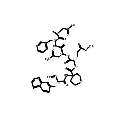 CN(CC(N)=O)C(=O)[C@H](Cc1cccnc1)NC(=O)[C@H](CC(N)=O)NC(=O)[C@H](CCC(=O)OP)NC(=O)C1(NC(=O)[C@H](Cc2ccc3ccccc3c2)N=P)CCOCC1